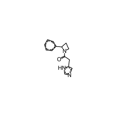 O=C(Cc1cnc[nH]1)N1CCC1c1ccccc1